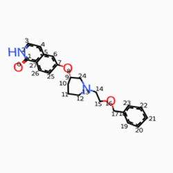 O=c1[nH]ccc2cc(O[C@H]3CCCN(CCOCc4ccccc4)C3)ccc12